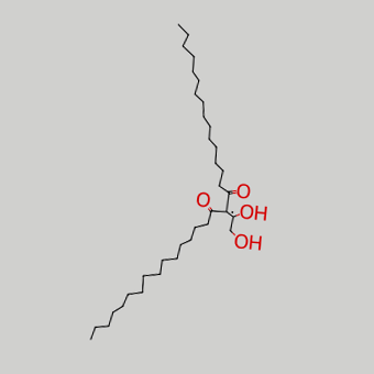 CCCCCCCCCCCCCCCC(=O)[C](C(=O)CCCCCCCCCCCCCCC)C(O)CO